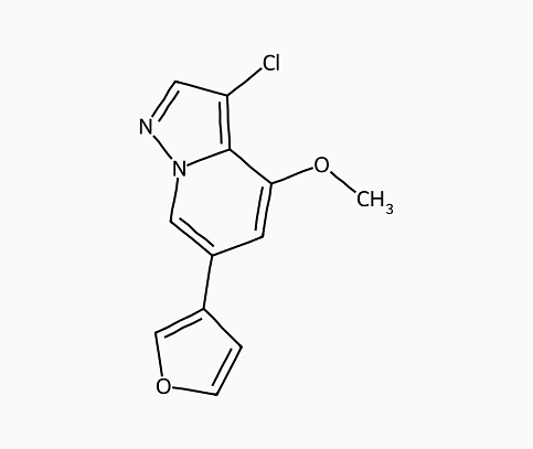 COc1cc(-c2ccoc2)cn2ncc(Cl)c12